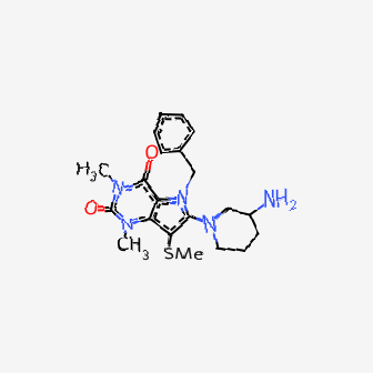 CSc1c(N2CCCC(N)C2)n(Cc2ccccc2)c2c(=O)n(C)c(=O)n(C)c12